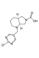 O=C(O)N1C[C@@H]2CCCN(Cc3cnc(Cl)nc3)[C@@H]2C1